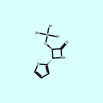 CC(C)[Si](O[C@H]1C(=O)N[C@@H]1c1ccco1)(C(C)C)C(C)C